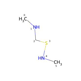 CNCSNC